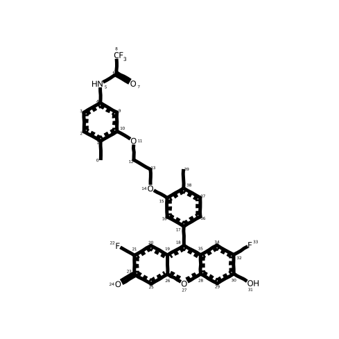 Cc1ccc(NC(=O)C(F)(F)F)cc1OCCOc1cc(-c2c3cc(F)c(=O)cc-3oc3cc(O)c(F)cc23)ccc1C